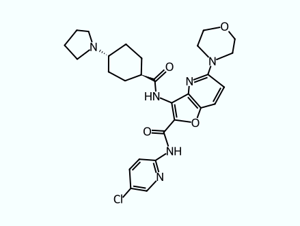 O=C(Nc1ccc(Cl)cn1)c1oc2ccc(N3CCOCC3)nc2c1NC(=O)[C@H]1CC[C@H](N2CCCC2)CC1